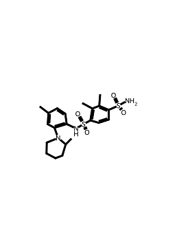 Cc1ccc(NS(=O)(=O)c2ccc(S(N)(=O)=O)c(C)c2C)c(N2CCCCC2C)c1